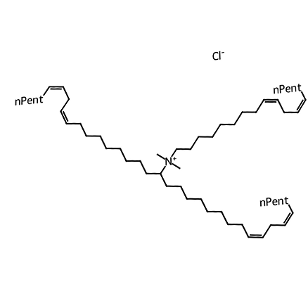 CCCCC/C=C\C/C=C\CCCCCCCCC(CCCCCCCC/C=C\C/C=C\CCCCC)[N+](C)(C)CCCCCCCC/C=C\C/C=C\CCCCC.[Cl-]